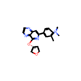 Cc1cc(-c2cc3nccnc3c(O[C@@H]3CCOC3)n2)ccc1N(C)C